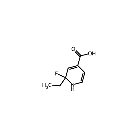 CCC1(F)C=C(C(=O)O)C=CN1